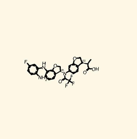 CC(C(=O)O)[C@@H]1COc2cc(N(C(=O)C(F)(F)F)[C@H]3COc4c(Nc5cc(F)ccc5N)cccc43)ccc21